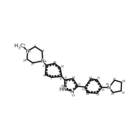 CN1CCN(c2ccc(-c3cc(-c4ccc(N5CCCC5)cc4)n[nH]3)cc2)CC1